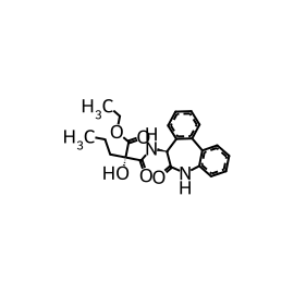 CCC[C@](O)(C(=O)N[C@@H]1C(=O)Nc2ccccc2-c2ccccc21)C(=O)OCC